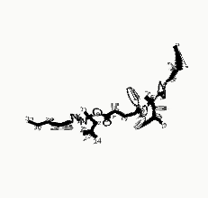 CCCCN=NC(C)(CC(C)C)OC(=O)CCC(=O)OC(C)(CC(C)C)N=NCCCC